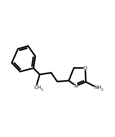 CC(CCC1COC(N)=N1)c1ccccc1